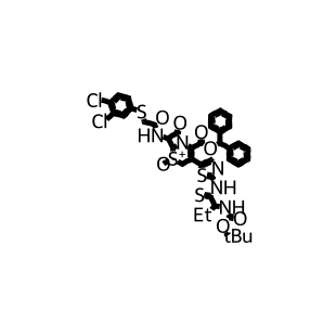 CCC(NC(=O)OC(C)(C)C)C(=S)Nc1ncc(C2=C(C(=O)OC(c3ccccc3)c3ccccc3)N3C(=O)C(NC(=O)CSc4ccc(Cl)c(Cl)c4)C3[S+]([O-])C2)s1